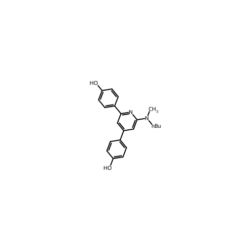 CCCCN(C)c1cc(-c2ccc(O)cc2)cc(-c2ccc(O)cc2)n1